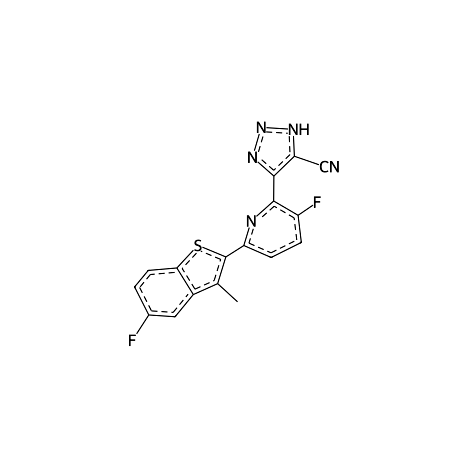 Cc1c(-c2ccc(F)c(-c3nn[nH]c3C#N)n2)sc2ccc(F)cc12